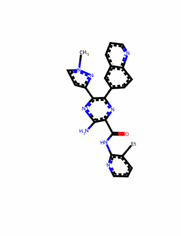 CCc1cccnc1NC(=O)c1nc(-c2ccc3ncccc3c2)c(-c2ccn(C)n2)nc1N